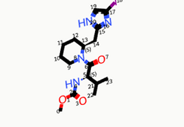 COC(=O)N[C@H](C(=O)N1CCCC[C@H]1Cc1nc(I)c[nH]1)C(C)C